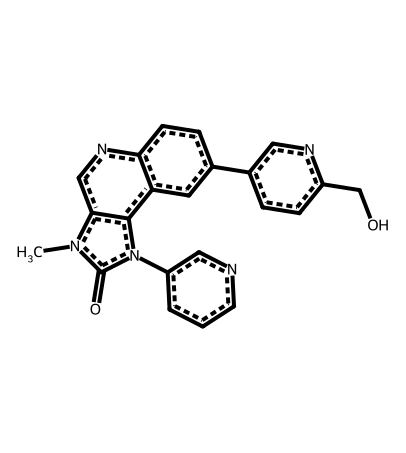 Cn1c(=O)n(-c2cccnc2)c2c3cc(-c4ccc(CO)nc4)ccc3ncc21